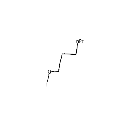 CCCCCCOI